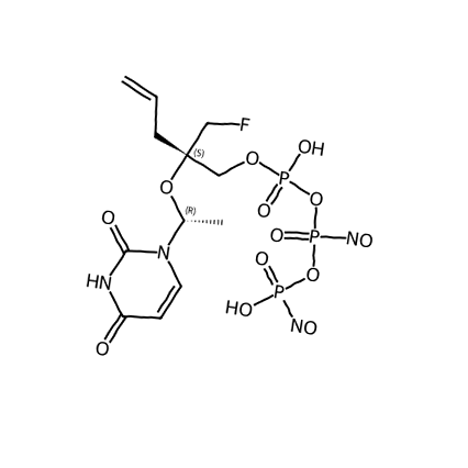 C=CC[C@@](CF)(COP(=O)(O)OP(=O)(N=O)OP(=O)(O)N=O)O[C@H](C)n1ccc(=O)[nH]c1=O